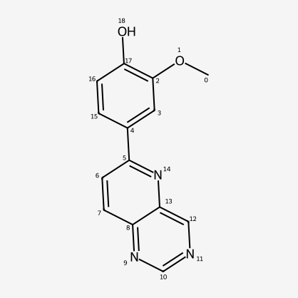 COc1cc(-c2ccc3ncncc3n2)ccc1O